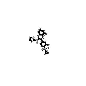 O=C(Nc1nccs1)C(Oc1ccc(F)cc1F)c1ccc(S(=O)(=O)C2CC2)c(Cl)c1